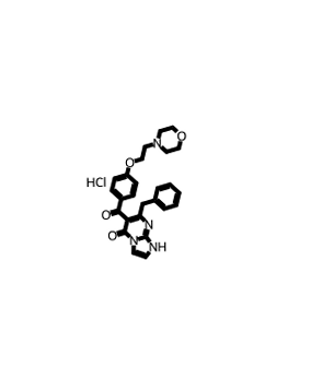 Cl.O=C(c1ccc(OCCN2CCOCC2)cc1)c1c(Cc2ccccc2)nc2[nH]ccn2c1=O